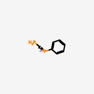 [PH2]/[Ir]=[P]/c1ccccc1